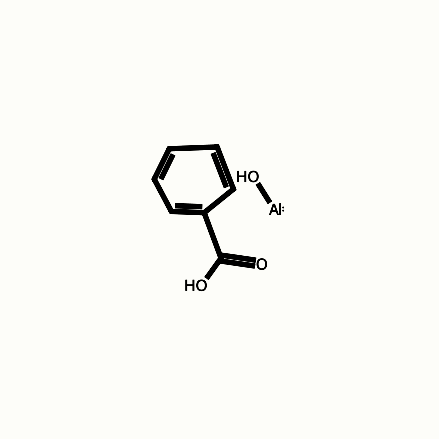 O=C(O)c1ccccc1.[OH][Al]